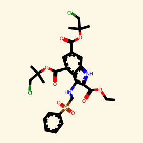 CCOC(=O)c1[nH]c2cc(C(=O)OC(C)(C)CCl)cc(C(=O)OC(C)(C)CCl)c2c1NCS(=O)(=O)c1ccccc1